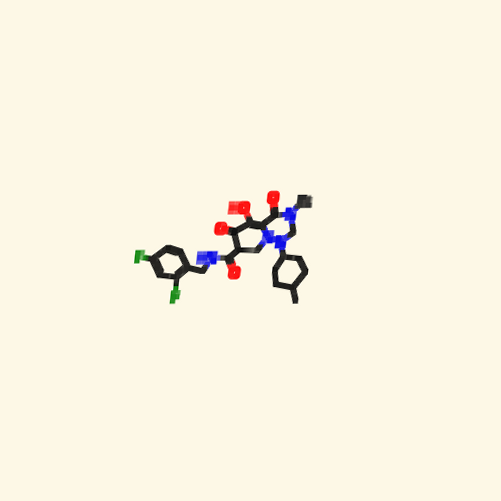 CCN1CN(C2CCC(C)CC2)N2CC(C(=O)NCc3ccc(F)cc3F)C(=O)C(O)=C2C1=O